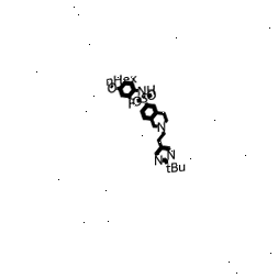 CCCCCCOc1ccc(NS(=O)(=O)c2ccc3c(c2)CCN(CCc2cnc(C(C)(C)C)nc2)C3)c(F)c1